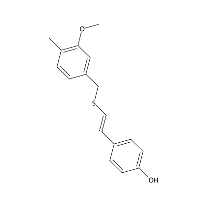 COc1cc(CSC=Cc2ccc(O)cc2)ccc1C